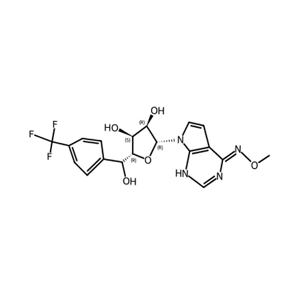 CON=c1nc[nH]c2c1ccn2[C@@H]1O[C@H](C(O)c2ccc(C(F)(F)F)cc2)[C@@H](O)[C@H]1O